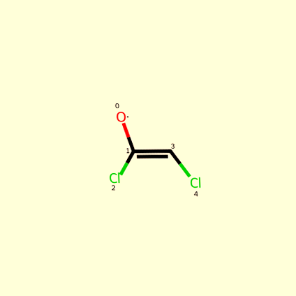 [O]C(Cl)=CCl